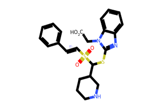 O=C(O)Cn1c(SC(C2CCCNC2)S(=O)(=O)/C=C/c2ccccc2)nc2ccccc21